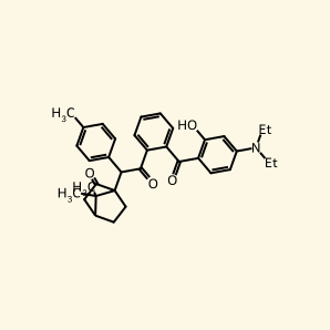 CCN(CC)c1ccc(C(=O)c2ccccc2C(=O)C(c2ccc(C)cc2)C23CCC(CC2=O)C3(C)C)c(O)c1